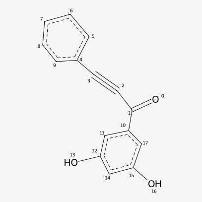 O=C(C#Cc1ccccc1)c1cc(O)cc(O)c1